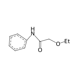 [CH2]COCC(=O)Nc1ccccc1